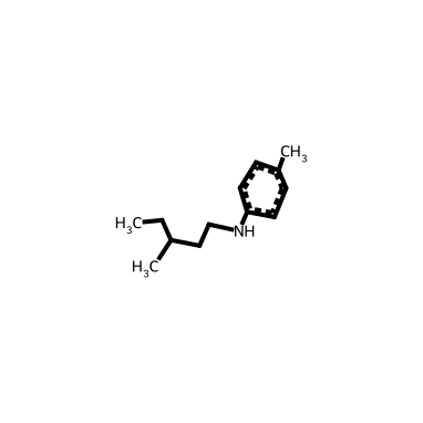 CCC(C)CCNc1ccc(C)cc1